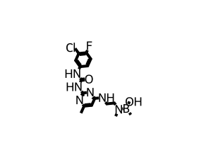 CB(O)N(C)CCNc1cc(C)nc(NC(=O)Nc2ccc(F)c(Cl)c2)n1